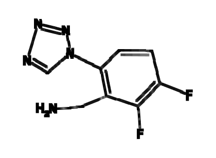 NCc1c(-n2cnnn2)ccc(F)c1F